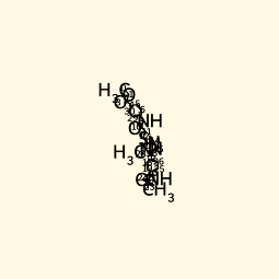 COC(=O)c1ccc(NC(=O)CSc2nnc(-c3ccc(NC(C)=O)cc3)n2C)cc1